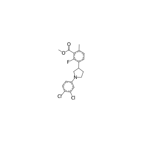 COC(=O)c1c(C)ccc(C2CCN(c3ccc(Cl)c(Cl)c3)C2)c1F